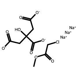 COC(=O)CCl.O=C([O-])CC(O)(CC(=O)[O-])C(=O)[O-].[Na+].[Na+].[Na+]